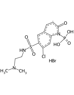 Br.CN(C)CCNS(=O)(=O)c1cc2c[c]c(=O)n(P(=O)(O)O)c2cc1Cl